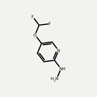 NNc1ccc(OC(F)F)cn1